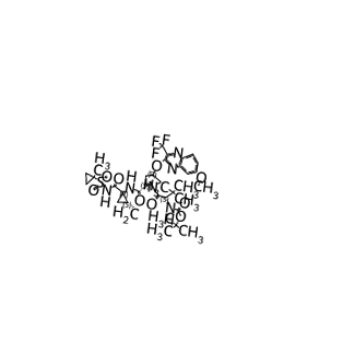 C=C[C@@H]1C[C@]1(NC(=O)[C@@H]1C[C@@H](Oc2nc3cc(OC)ccc3nc2C(F)(F)F)CN1C(=O)[C@@H](NC(=O)OC(C)(C)C)C(C)(C)C)C(=O)NS(=O)(=O)C1(C)CC1